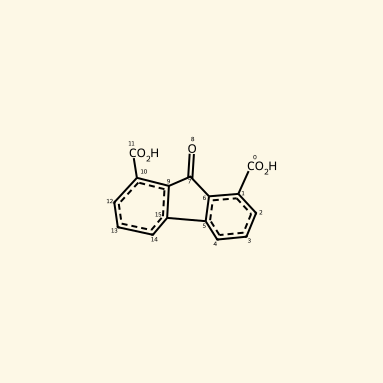 O=C(O)c1cccc2c1C(=O)c1c(C(=O)O)cccc1-2